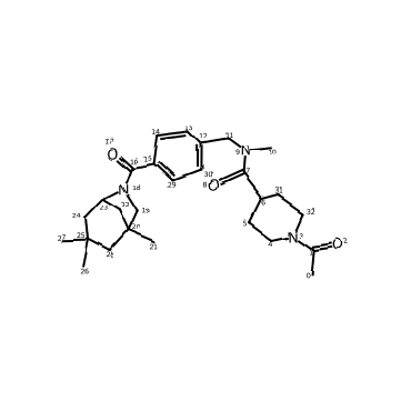 CC(=O)N1CCC(C(=O)N(C)Cc2ccc(C(=O)N3CC4(C)CC3CC(C)(C)C4)cc2)CC1